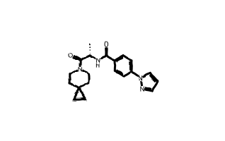 C[C@H](NC(=O)c1ccc(-n2cccn2)cc1)C(=O)N1CCC2(CC1)CC2